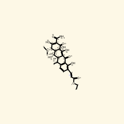 CCOC(=O)/C=C/c1ccc2c(c1O)C(=O)C1=C(O)[C@]3(O)C(=O)C(C(N)=O)=C(O)[C@@H](N(C)C)[C@@H]3[C@@H](O)[C@@H]1C2C